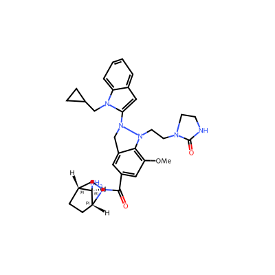 COc1cc(C(=O)N2C[C@H]3CC[C@@H]2[C@@H]3N)cc2c1N(CCN1CCNC1=O)N(c1cc3ccccc3n1CC1CC1)C2